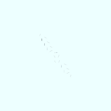 c1cc2cc3cc4cc5sc6c(ccc7c6ccc6c8cc9cc%10sccc%10cc9cc8sc67)c5cc4cc3cc2s1